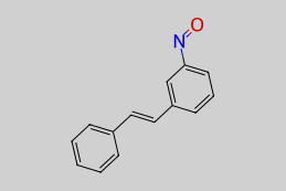 O=Nc1cccc(/C=C/c2ccccc2)c1